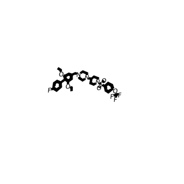 CCOc1cc(CN2CCN(C3CCN(S(=O)(=O)c4ccc(OC(F)(F)F)cc4)CC3)CC2)cc(OCC)c1-c1ccc(F)cc1